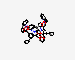 c1ccc(-c2cc(-c3ccccc3)c(N3c4cc(N5C6CC7CC(C6)CC5C7)ccc4B4c5ccc(-n6c7ccccc7c7ccccc76)cc5N(c5c(-c6ccccc6)cc(-c6ccccc6)cc5-c5ccccc5)c5cc(-c6ccccc6)cc3c54)c(-c3ccccc3)c2)cc1